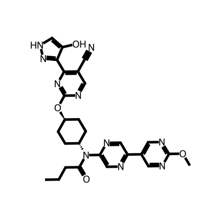 CCCC(=O)N(c1cnc(-c2cnc(OC)nc2)cn1)[C@H]1CC[C@H](Oc2ncc(C#N)c(-c3n[nH]cc3O)n2)CC1